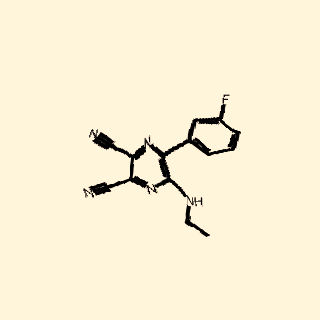 CCNc1nc(C#N)c(C#N)nc1-c1cccc(F)c1